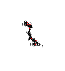 CN(C)C(=O)c1cc2cnc(Nc3ccc(N4CCN(C(=O)CCCSc5cccc6c5C(=O)N(C5CCC(=O)NC5=O)C6=O)CC4)cn3)nc2n1C1CCCC1